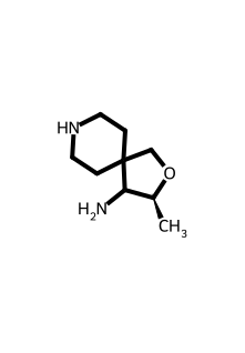 C[C@@H]1OCC2(CCNCC2)C1N